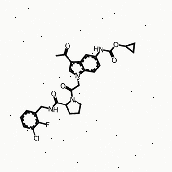 CC(=O)c1cn(CC(=O)N2CCC[C@H]2C(=O)NCc2cccc(Cl)c2F)c2ccc(NC(=O)OC3CC3)cc12